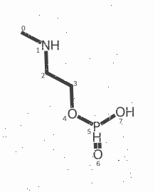 CNCCO[PH](=O)O